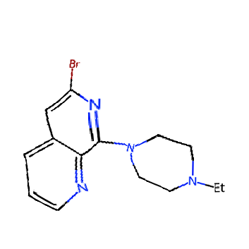 CCN1CCN(c2nc(Br)cc3cccnc23)CC1